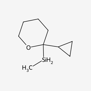 C[SiH2]C1(C2CC2)CCCCO1